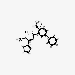 CC/C(=C\C(C)c1cc(-c2ccccc2)ccc1NC)C1=CC=CC1